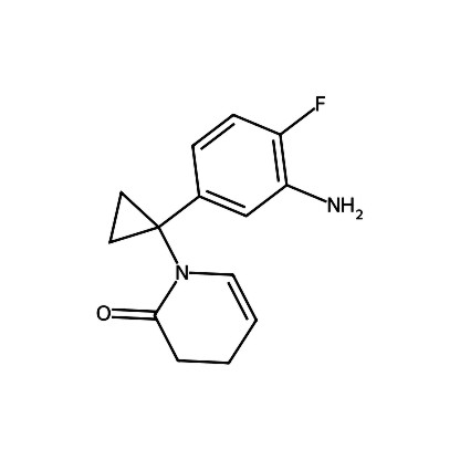 Nc1cc(C2(N3C=CCCC3=O)CC2)ccc1F